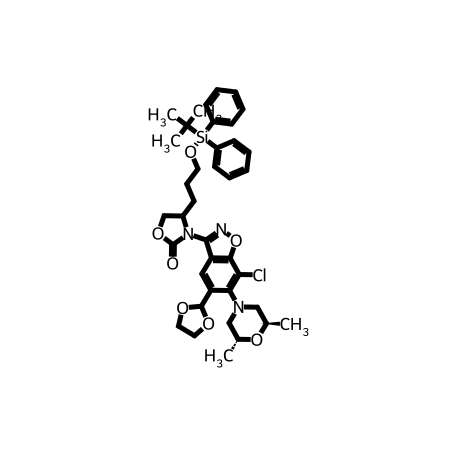 C[C@@H]1CN(c2c(C3OCCO3)cc3c(N4C(=O)OCC4CCCO[Si](c4ccccc4)(c4ccccc4)C(C)(C)C)noc3c2Cl)C[C@@H](C)O1